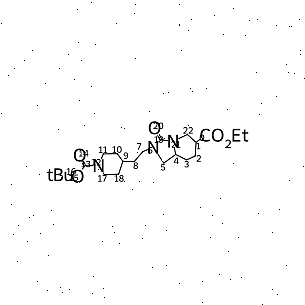 CCOC(=O)C1CCC2CN(CCC3CCN(C(=O)OC(C)(C)C)CC3)C(=O)N2C1